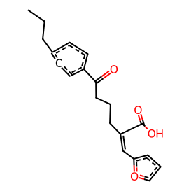 CCCc1ccc(C(=O)CCC/C(=C/c2ccco2)C(=O)O)cc1